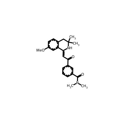 COc1ccc2c(c1)/C(=C/C(=O)c1cccc(C(=O)N(C)C)c1)NC(C)(C)C2